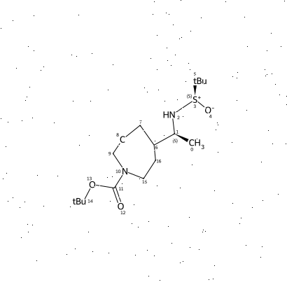 C[C@H](N[S@+]([O-])C(C)(C)C)C1CCCN(C(=O)OC(C)(C)C)CC1